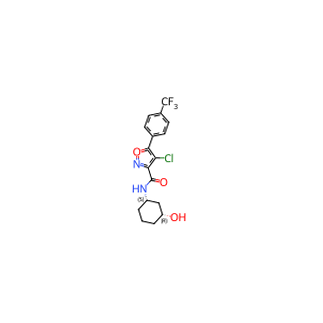 O=C(N[C@H]1CCC[C@@H](O)C1)c1noc(-c2ccc(C(F)(F)F)cc2)c1Cl